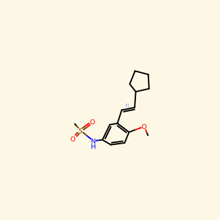 COc1ccc(NS(C)(=O)=O)cc1/C=C/C1CCCC1